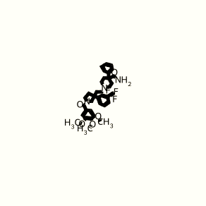 COc1cc(C(=O)N2CCC(CCN3CCC(C(N)=O)(c4ccccc4)CC3)(c3cccc(C(F)(F)F)c3)C2)cc(OC)c1OC